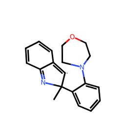 CC1(c2ccccc2N2CCOCC2)[C]=c2ccccc2=N1